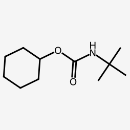 CC(C)(C)NC(=O)OC1CCCCC1